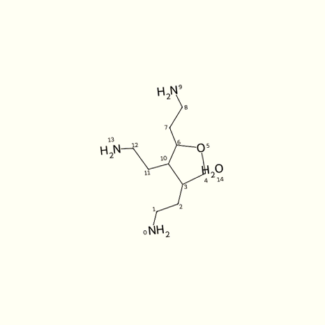 NCCC1COC(CCN)C1CCN.O